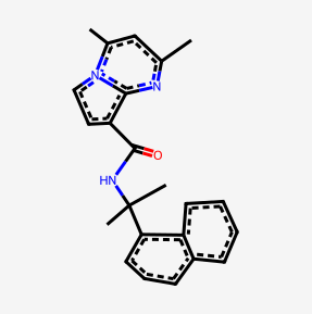 Cc1cc(C)n2ccc(C(=O)NC(C)(C)c3cccc4ccccc34)c2n1